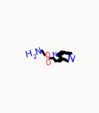 NCCOC(=O)c1ccc2cnccc2n1